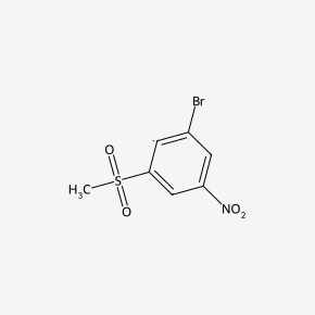 CS(=O)(=O)c1[c]c(Br)cc([N+](=O)[O-])c1